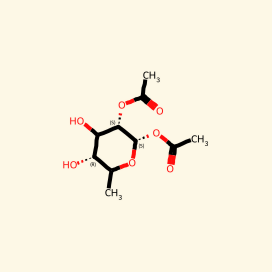 CC(=O)O[C@@H]1OC(C)[C@H](O)C(O)[C@@H]1OC(C)=O